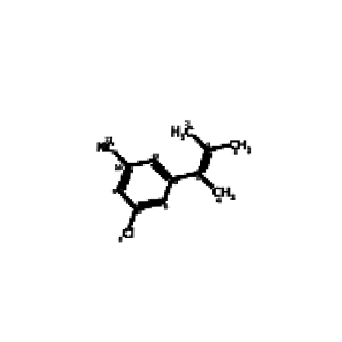 CC(C)=C(C)c1cc(Cl)cc(C#N)c1